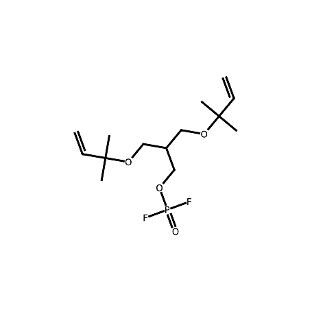 C=CC(C)(C)OCC(COC(C)(C)C=C)COP(=O)(F)F